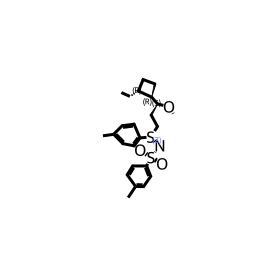 CC[C@@H]1CC[C@H]1[C@H](CC/S(=N/S(=O)(=O)c1ccc(C)cc1)c1ccc(C)cc1)OC